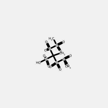 CC(S(=O)(=O)O)(S(=O)(=O)S(C)(=O)=O)S(=O)(=O)S(C)(=O)=O